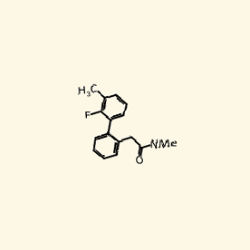 CNC(=O)Cc1ccccc1-c1cccc(C)c1F